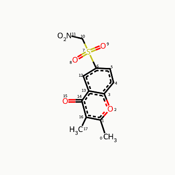 Cc1oc2ccc(S(=O)(=O)C[N+](=O)[O-])cc2c(=O)c1C